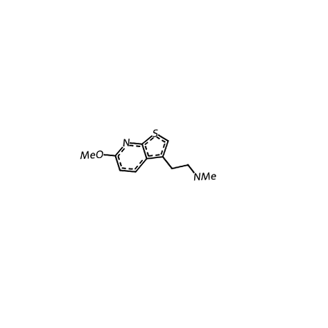 CNCCc1csc2nc(OC)ccc12